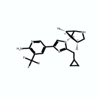 Nc1ncc(-c2cn([C@]34C5NC[C@@H]3[C@H]54)c(CC3CC3)n2)cc1C(F)(F)F